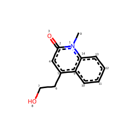 Cn1c(=O)cc(CCO)c2ccccc21